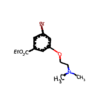 CCOC(=O)c1cc(Br)cc(OCCN(C)C)c1